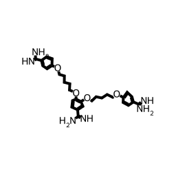 N=C(N)c1ccc(OCCCCCOc2ccc(C(=N)N)cc2OCCCCCOc2ccc(C(=N)N)cc2)cc1